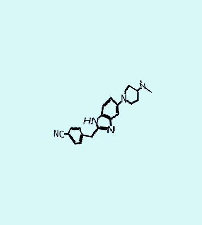 CN(C)C1CCN(c2ccc3[nH]c(Cc4ccc(C#N)cc4)nc3c2)CC1